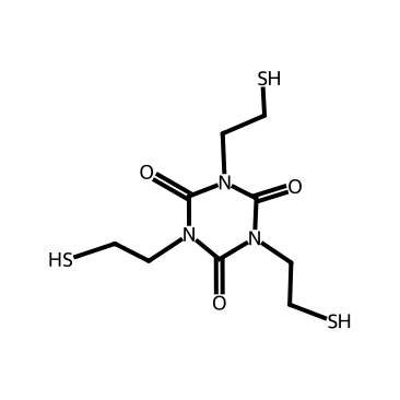 O=c1n(CCS)c(=O)n(CCS)c(=O)n1CCS